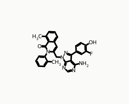 Cc1ccccc1-n1c(Cn2nc(-c3ccc(O)c(F)c3)c3c(N)ncnc32)cc2cccc(C)c2c1=O